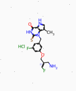 Cc1c[nH]c2c(=O)[nH]c(=S)n(Cc3cc(F)cc(OC/C(=C/F)CN)c3)c12.Cl